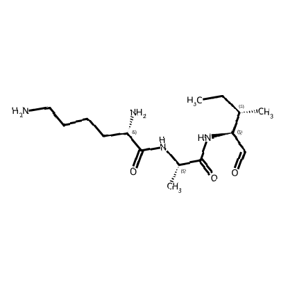 CC[C@H](C)[C@@H](C=O)NC(=O)[C@H](C)NC(=O)[C@@H](N)CCCCN